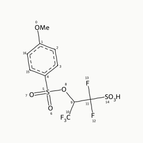 COc1ccc(S(=O)(=O)OC(C(F)(F)F)C(F)(F)S(=O)(=O)O)cc1